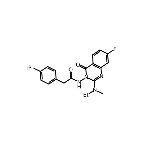 CCN(C)c1nc2cc(F)ccc2c(=O)n1NC(=O)Cc1ccc(C(C)C)cc1